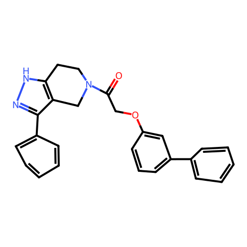 O=C(COc1cccc(-c2ccccc2)c1)N1CCc2[nH]nc(-c3ccccc3)c2C1